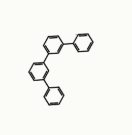 [c]1ccccc1-c1cccc(-c2cccc(-c3ccccc3)c2)c1